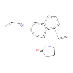 C=CC#N.C=Cc1cccc2ccccc12.O=C1CCCN1